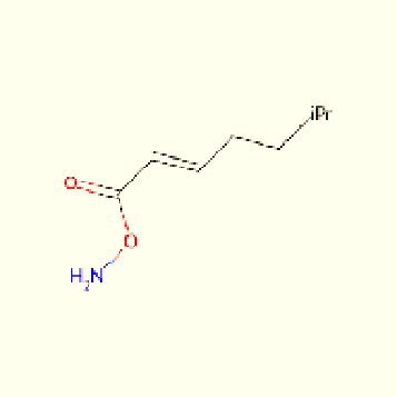 CC(C)CCC=CC(=O)ON